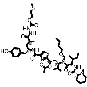 CCCCOCN(C(=O)[C@@H](NC(=O)[C@H]1CCCCN1C)C(C)CC)[C@H](C[C@@H](OC(C)=O)c1nc(C(=O)N[C@@H](Cc2ccc(O)cc2)C[C@H](C)C(=O)NNC(=O)OCCSC)cs1)C(C)C